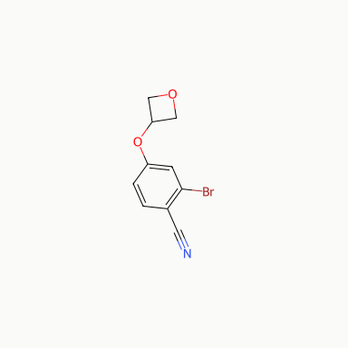 N#Cc1ccc(OC2COC2)cc1Br